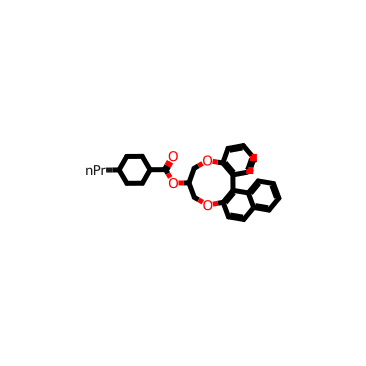 CCCC1CCC(C(=O)OC2COc3ccc4ccccc4c3-c3c(ccc4ccccc34)OC2)CC1